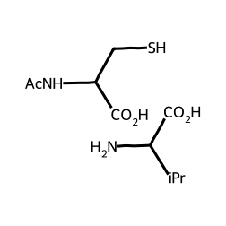 CC(=O)NC(CS)C(=O)O.CC(C)C(N)C(=O)O